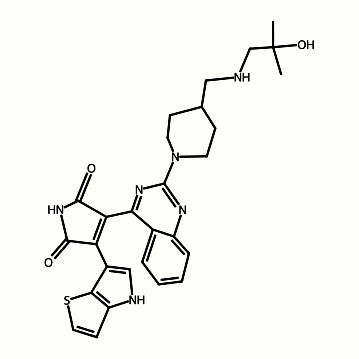 CC(C)(O)CNCC1CCN(c2nc(C3=C(c4c[nH]c5ccsc45)C(=O)NC3=O)c3ccccc3n2)CC1